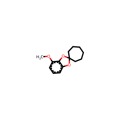 COc1cccc2c1OC1(CCCCCC1)O2